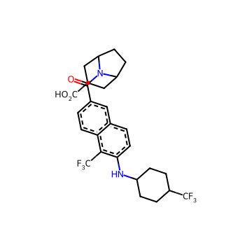 O=C(O)C1CC2CCC(C1)N2C(=O)c1ccc2c(C(F)(F)F)c(NC3CCC(C(F)(F)F)CC3)ccc2c1